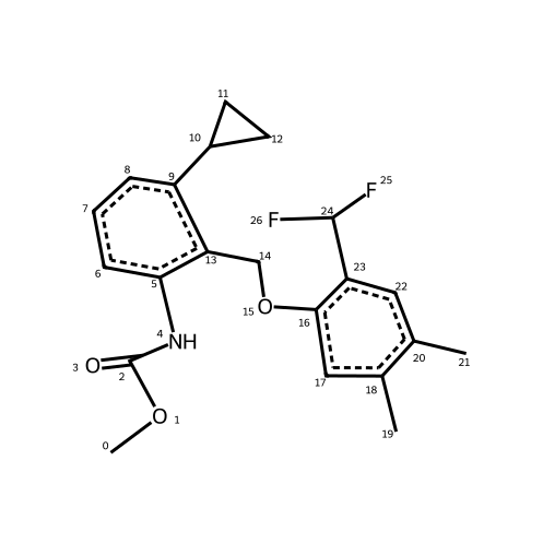 COC(=O)Nc1cccc(C2CC2)c1COc1cc(C)c(C)cc1C(F)F